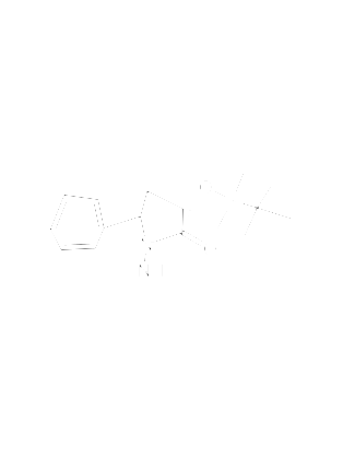 CC(C)(C)[Si](C)(C)O[C@H]1CC(c2ccccc2)N(N)C1=O